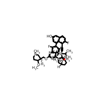 COC1CCN(C)CC1(C)COc1nc(N2C[C@H]3CC[C@@H](C2)N3)c2cc(F)c(-c3cc(O)cc4ccc(F)c(C#C[Si](C(C)C)(C(C)C)C(C)C)c34)c(F)c2n1